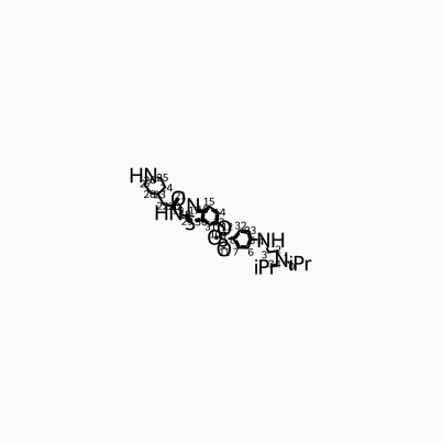 CC(C)N(CCNc1ccc(S(=O)(=O)Oc2ccc3nc(NC(=O)CC4CCNCC4)sc3c2)cc1)C(C)C